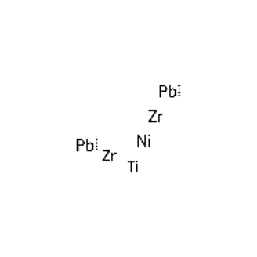 [Ni].[Pb].[Pb].[Ti].[Zr].[Zr]